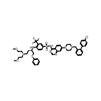 COCCN(CCOC)CC[C@H](CSc1ccccc1)Nc1ccc(S(=O)(=O)Nc2ncnc3cc(N4CCN(Cc5ccccc5-c5ccc(Cl)cc5)CC4)ccc23)cc1C(F)(F)F